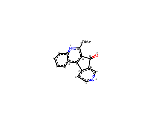 COc1nc2ccccc2c2c1C(=O)c1cnccc1-2